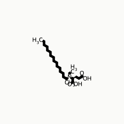 CCCCCCCCCCCCCCCC(C)N(CC)[C@@H](CCC(=O)O)C(=O)O